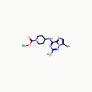 Cc1nc(NC2CCN(C(=O)OC(C)(C)C)CC2)c2ncc(C(C)C)n2n1